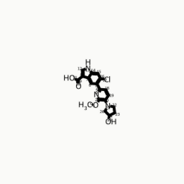 COc1nc(-c2cc3c(C(=O)O)c[nH]c3cc2Cl)ccc1N1CCC(O)C1